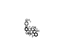 CC(C)=C(Nc1cc(N2CCN(C)CC2)ccc1C)c1c(N)c2c(F)cccc2[nH]c1=O